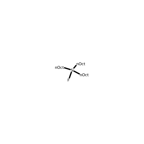 CCCCCCCC[Si](F)(CCCCCCCC)CCCCCCCC